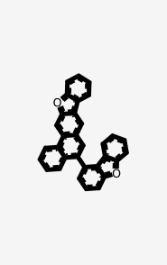 c1ccc2c(c1)oc1cc3c(cc(-c4cccc5oc6ccccc6c45)c4ccccc43)cc12